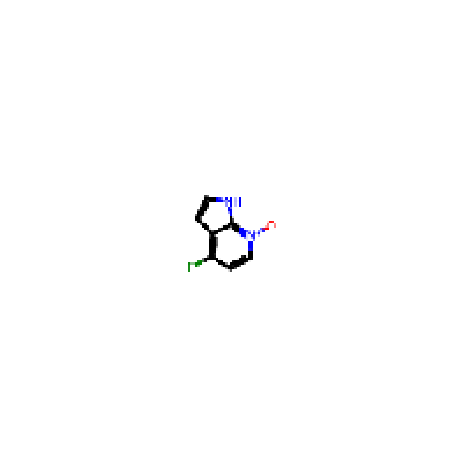 [O-][n+]1ccc(F)c2cc[nH]c21